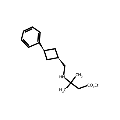 CCOC(=O)CC(C)(C)NC[C@H]1C[C@@H](c2ccccc2)C1